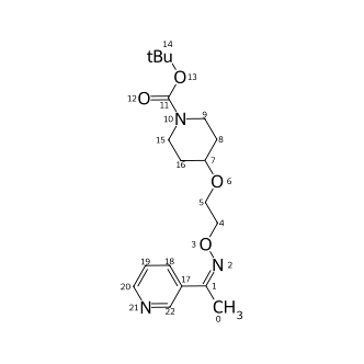 C/C(=N/OCCOC1CCN(C(=O)OC(C)(C)C)CC1)c1cccnc1